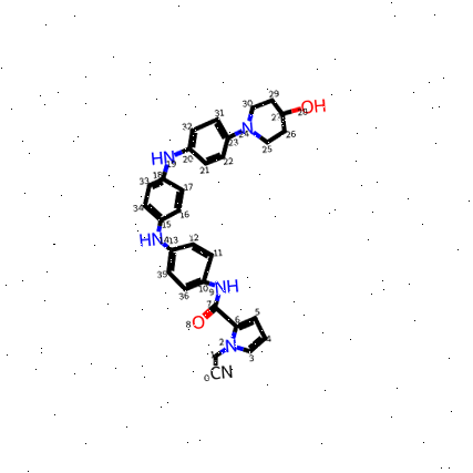 N#CCn1cccc1C(=O)Nc1ccc(Nc2ccc(Nc3ccc(N4CCC(O)CC4)cc3)cc2)cc1